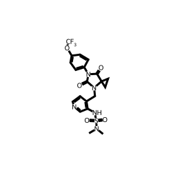 CN(C)S(=O)(=O)Nc1cnccc1CN1C(=O)N(c2ccc(OC(F)(F)F)cc2)C(=O)C12CC2